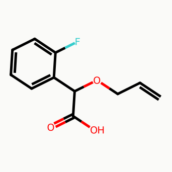 C=CCOC(C(=O)O)c1ccccc1F